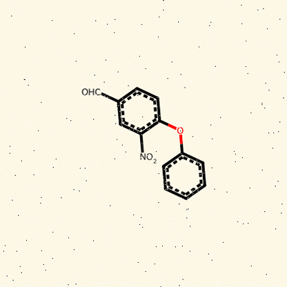 O=Cc1ccc(Oc2ccccc2)c([N+](=O)[O-])c1